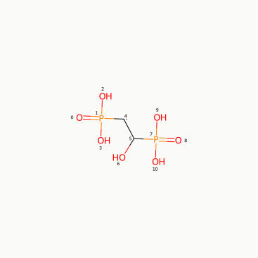 O=P(O)(O)[CH]C(O)P(=O)(O)O